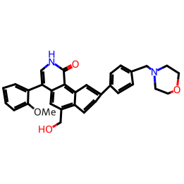 COc1ccccc1-c1c[nH]c(=O)c2c1cc(CO)c1ccc(-c3ccc(CN4CCOCC4)cc3)cc12